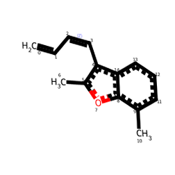 C=C/C=C\c1c(C)oc2c(C)cccc12